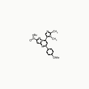 CCCC[S+]([O-])c1cc2nc(-c3ccc(OC)cc3)cc(-c3cnc(C)n3C)n2n1